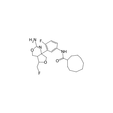 NC1=NC2(c3cc(NC(=O)C4CCCCCCCC4)ccc3F)COC(CF)C2CO1